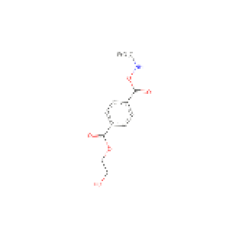 CCOC(=O)NOC(=O)c1ccc(C(=O)OCCO)cc1